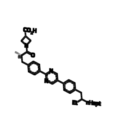 CCCCCCCC(CC)Cc1ccc(-c2cnc(-c3ccc(C[C@H](C)C(=O)N4CC(C(=O)O)C4)cc3)nc2)cc1